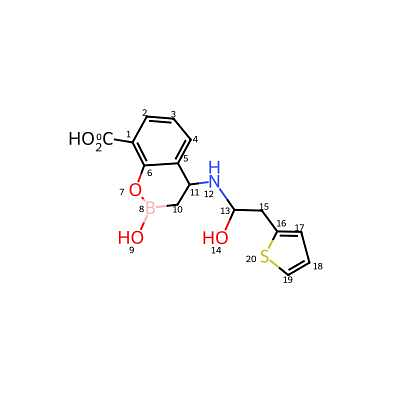 O=C(O)c1cccc2c1OB(O)CC2NC(O)Cc1cccs1